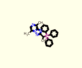 Cc1ncc(C)n2nc(C(C)[PH](c3ccccc3)(c3ccccc3)c3ccccc3)nc12